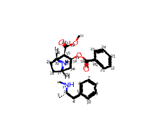 CN[C@@H](C)Cc1ccccc1.COC(=O)[C@H]1[C@@H](OC(=O)c2ccccc2)C[C@@H]2CC[C@H]1N2C